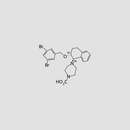 O=C(O)N1CCN([C@@H]2c3ccccc3CC[C@H]2OCc2cc(Br)cc(Br)c2)CC1